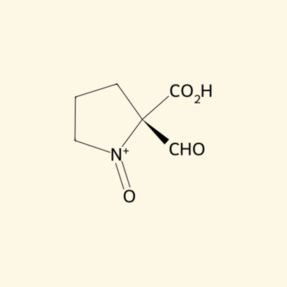 O=C[C@]1(C(=O)O)CCC[N+]1=O